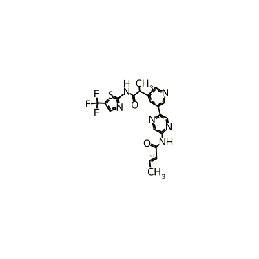 C/C=C/C(=O)Nc1cnc(-c2cncc(C(C)C(=O)Nc3ncc(C(F)(F)F)s3)c2)cn1